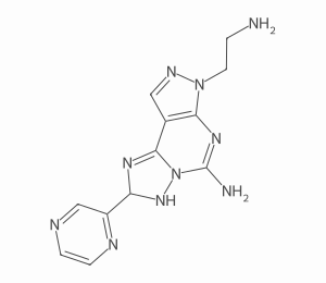 NCCn1ncc2c1N=C(N)N1NC(c3cnccn3)N=C21